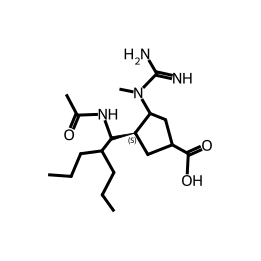 CCCC(CCC)C(NC(C)=O)[C@@H]1CC(C(=O)O)CC1N(C)C(=N)N